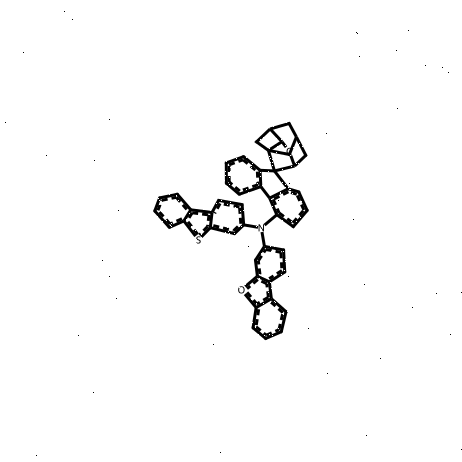 c1ccc2c(c1)-c1c(N(c3ccc4c(c3)oc3ccccc34)c3ccc4c(c3)sc3ccccc34)cccc1C21C2CC3CC4CC1(C3)C4C2